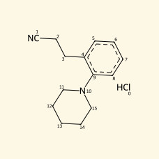 Cl.N#CCCc1ccccc1N1CCCCC1